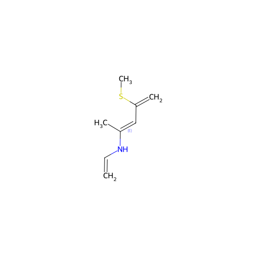 C=CN/C(C)=C/C(=C)SC